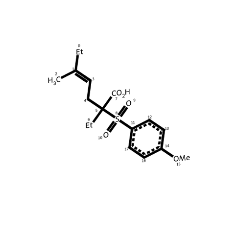 CCC(C)=CCC(CC)(C(=O)O)S(=O)(=O)c1ccc(OC)cc1